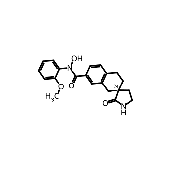 COc1ccccc1N(O)C(=O)c1ccc2c(c1)C[C@]1(CCNC1=O)CC2